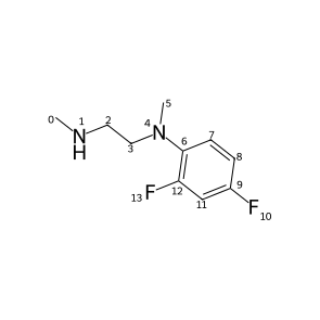 CNCCN(C)c1ccc(F)cc1F